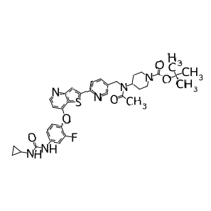 CC(=O)N(Cc1ccc(-c2cc3nccc(Oc4ccc(NC(=O)NC5CC5)cc4F)c3s2)nc1)C1CCN(C(=O)OC(C)(C)C)CC1